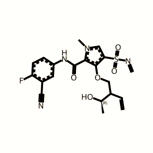 C=CC(COc1c(S(=O)(=O)N=C)cn(C)c1C(=O)Nc1ccc(F)c(C#N)c1)[C@@H](C)O